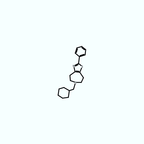 [c]1ccc(-c2nc3c(s2)CCN(CC2CCCCC2)CC3)cc1